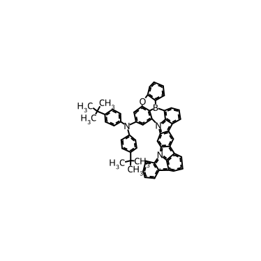 CC(C)(C)c1ccc(N(c2ccc(C(C)(C)C)cc2)c2cc3c4c(c2)-n2c5cc6c(cc5c5cccc(c52)B4c2ccccc2O3)c2cccc3c4ccccc4n6c32)cc1